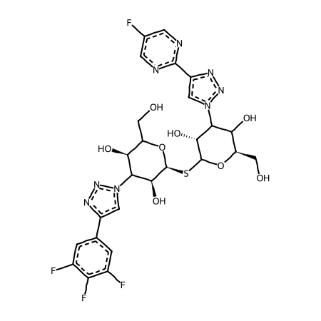 OCC1O[C@@H](SC2O[C@H](CO)C(O)C(n3cc(-c4ncc(F)cn4)nn3)[C@H]2O)[C@@H](O)C(n2cc(-c3cc(F)c(F)c(F)c3)nn2)[C@H]1O